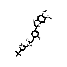 COc1cc2ncc(-c3ccc(CC(=O)Nc4cc(C(C)(C)C)on4)c(F)c3)nc2cc1OC